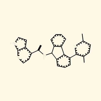 Cc1ccc(O)c(-c2cccc3c2-c2ccccc2C3NC(=O)c2ccnc3[nH]ccc23)n1